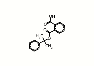 CC(C)(OC(=O)c1ccccc1C(=O)O)c1ccccc1